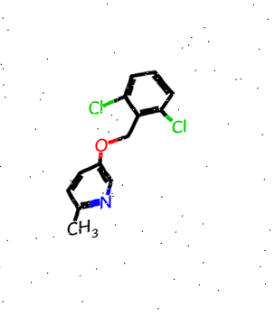 Cc1ccc(OCc2c(Cl)cccc2Cl)cn1